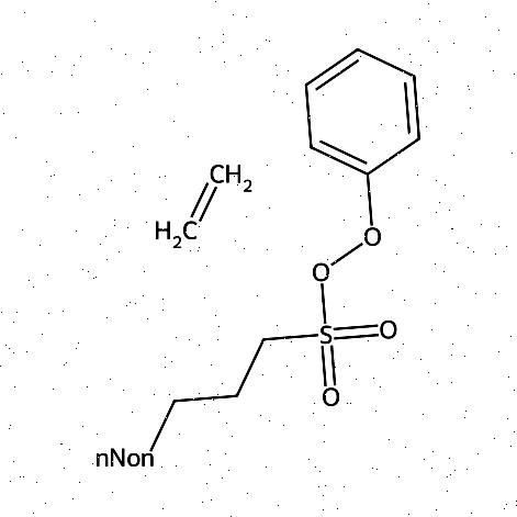 C=C.CCCCCCCCCCCCS(=O)(=O)OOc1ccccc1